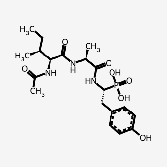 CC[C@H](C)[C@H](NC(C)=O)C(=O)N[C@@H](C)C(=O)N[C@@H](Cc1ccc(O)cc1)P(=O)(O)O